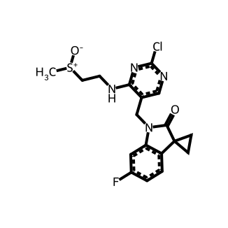 C[S+]([O-])CCNc1nc(Cl)ncc1CN1C(=O)C2(CC2)c2ccc(F)cc21